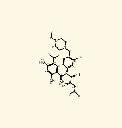 CCN1CCN(Cc2ccc(N(C(=N)C(=O)NC(C)C)C(=N)c3cc(C(C)C)c(O)cc3O)cc2F)CC1